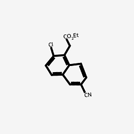 CCOC(=O)Cc1c(Cl)ccc2cc(C#N)ccc12